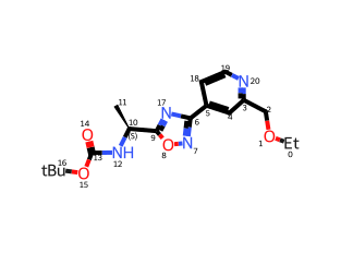 CCOCc1cc(-c2noc([C@H](C)NC(=O)OC(C)(C)C)n2)ccn1